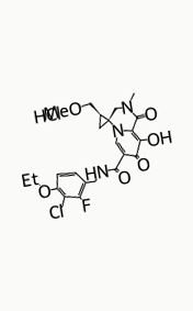 CCOc1ccc(CNC(=O)c2cn3c(c(O)c2=O)C(=O)N(C)C[C@]32C[C@H]2COC)c(F)c1Cl.Cl